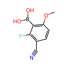 COc1ccc(C#N)c(F)c1B(O)O